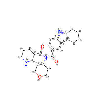 O=C(c1ccc2[nH]c3c(c2c1)CCCC3)N(C(=O)C1CCCNC1)C1CCOCC1